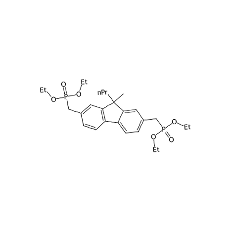 CCCC1(C)c2cc(CP(=O)(OCC)OCC)ccc2-c2ccc(CP(=O)(OCC)OCC)cc21